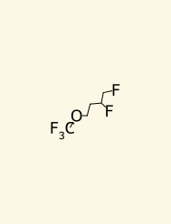 FCC(F)CCOC(F)(F)F